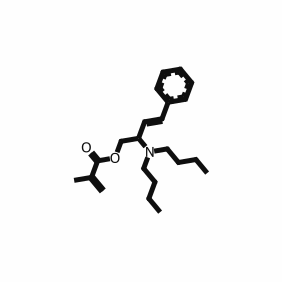 C=C(C)C(=O)OCC(C=Cc1ccccc1)N(CCCC)CCCC